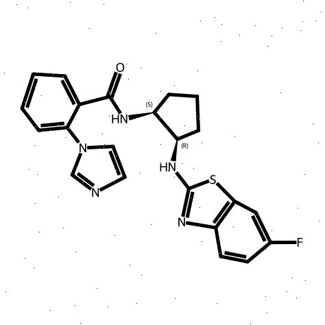 O=C(N[C@H]1CCC[C@H]1Nc1nc2ccc(F)cc2s1)c1ccccc1-n1ccnc1